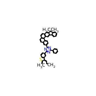 C=C/C=c1\c(=C/C)sc2ccc(-c3nc(-c4ccccc4)nc(-c4ccc5c(ccc6ccc7cc8c(cc7c65)-c5ccccc5C8(C)C)c4)n3)cc12